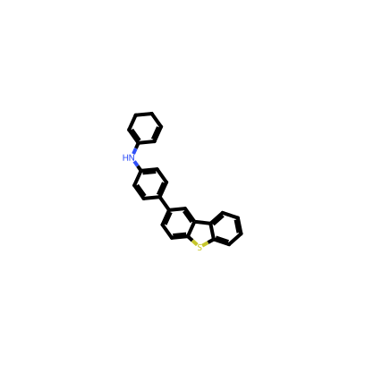 C1=CC(Nc2ccc(-c3ccc4sc5ccccc5c4c3)cc2)=CCC1